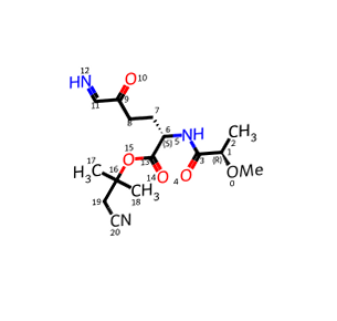 CO[C@H](C)C(=O)N[C@@H](CCC(=O)C=N)C(=O)OC(C)(C)CC#N